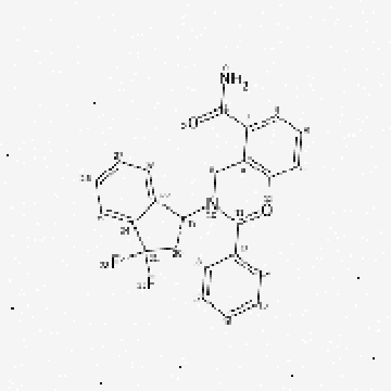 NC(=O)c1ccccc1CN(C(=O)c1ccccc1)C1CC(F)(F)c2ccccc21